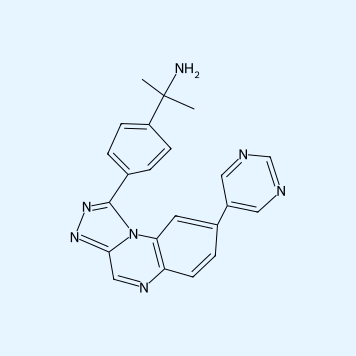 CC(C)(N)c1ccc(-c2nnc3cnc4ccc(-c5cncnc5)cc4n23)cc1